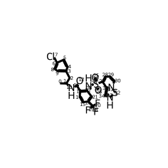 CC(Cc1ccc(Cl)cc1)NC(=O)c1ccc(C(F)(F)F)cc1NS(=O)(=O)C1=CC=CN2SNC=C12